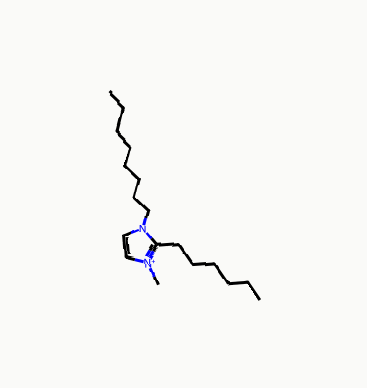 CCCCCCCCn1cc[n+](C)c1CCCCCC